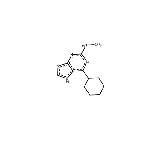 CNc1nc(C2CCCCC2)c2[nH]cnc2n1